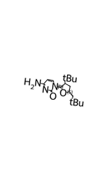 CC(C)(C)C[C@@H]1CC(C(C)(C)C)[C@H](n2ccc(N)nc2=O)O1